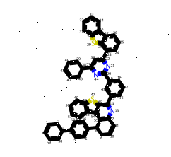 C1=CCC(c2ccc(C3CC=Cc4nc(-c5cccc(-c6nc(-c7cccc8c7sc7ccccc78)cc(C7C=CC=CC7)n6)c5)c5sc6ccccc6c5c43)cc2)C=C1